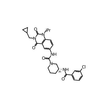 CC(C)n1c(=O)n(CC2CC2)c(=O)c2cc(NC(=O)N3CCC[C@@H](NC(=O)c4cccc(Cl)c4)C3)ccc21